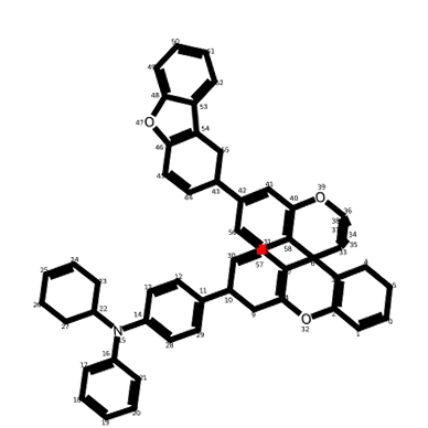 C1=CC2=C(CC1)C1(C3=C(CC(c4ccc(N(c5ccccc5)C5CC=CCC5)cc4)C=C3)O2)c2ccccc2Oc2cc(C3C=Cc4oc5ccccc5c4C3)ccc21